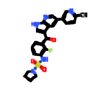 N#Cc1ccc(-c2cnc3[nH]cc(C(=O)c4cccc(NS(=O)(=O)N5CCCC5)c4F)c3c2)cn1